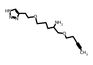 CC#CCCOCC(N)CCCOCCc1c[nH]nn1